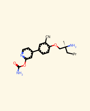 CC(C)C[C@](C)(N)COc1ccc(-c2ccnc(OC(N)=O)c2)cc1C#N